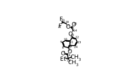 CCC(C)(C)C(=O)Oc1cccc2c(OCC(=O)OCC(F)F)cccc12